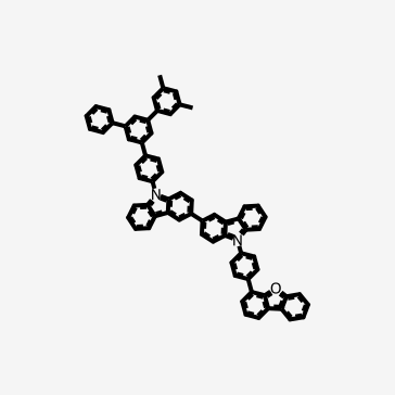 Cc1cc(C)cc(-c2cc(-c3ccccc3)cc(-c3ccc(-n4c5ccccc5c5cc(-c6ccc7c(c6)c6ccccc6n7-c6ccc(-c7cccc8c7oc7ccccc78)cc6)ccc54)cc3)c2)c1